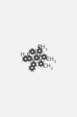 Cc1cccc(N2c3cc(C)ccc3B3c4ccc(C)cc4N(c4cccc(C)c4)c4cc(N(c5ccc6ccccc6c5)c5ccc6ccccc6c5)cc2c43)c1